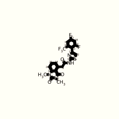 Cn1c(=O)c2c(CC(=O)Nc3nc(-c4c(F)cc(F)cc4C(F)(F)F)cs3)cccc2n(C)c1=O